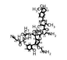 Cc1nc(-c2ccc3c(c2)CCC3(C)C)nc(C)c1C(=O)N[C@@H](CCN)C(=O)N(C)[C@@H]1C(=O)N[C@@H](C)C(=O)N[C@H](C(=O)NCC#N)Cc2ccc(O)c(c2)-c2cc1ccc2OCCN